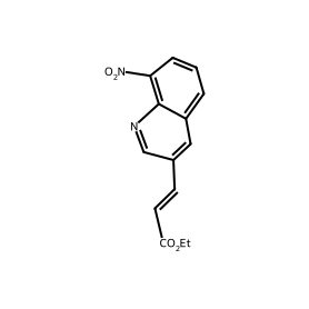 CCOC(=O)C=Cc1cnc2c([N+](=O)[O-])cccc2c1